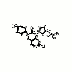 CCc1ccc(N2Cc3cnc(Cl)nc3N([C@H]3CC[C@H](O[Si](C)(C)C(C)(C)C)C3)C2=O)cc1